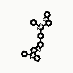 c1ccc(-c2nc(-c3ccc(-c4ccc5oc6c(ccc7c(-c8ccccc8)nc8ccccc8c76)c5c4)cc3)cc(-c3cccc4c3oc3ccccc34)n2)cc1